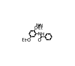 CCOc1ccc(OCC)c(NC(=O)c2ccccc2)c1.N#N